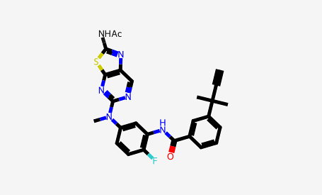 C#CC(C)(C)c1cccc(C(=O)Nc2cc(N(C)c3ncc4nc(NC(C)=O)sc4n3)ccc2F)c1